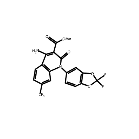 COC(=O)c1c(N)c2ccc(C(F)(F)F)cc2n(-c2ccc3c(c2)OC(F)(F)O3)c1=O